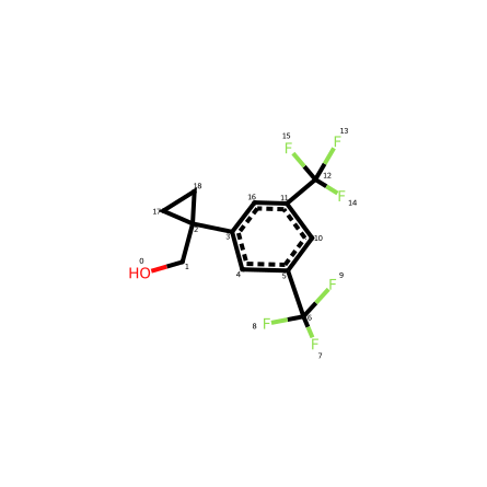 OCC1(c2cc(C(F)(F)F)cc(C(F)(F)F)c2)CC1